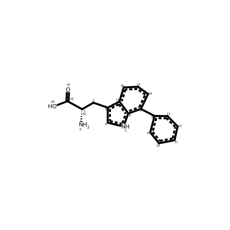 N[C@@H](Cc1c[nH]c2c(-c3ccccc3)cccc12)C(=O)O